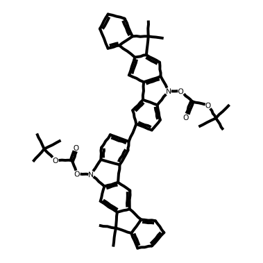 CC(C)(C)OC(=O)On1c2ccc(-c3ccc4c(c3)c3cc5c(cc3n4OC(=O)OC(C)(C)C)C(C)(C)c3ccccc3-5)cc2c2cc3c(cc21)C(C)(C)c1ccccc1-3